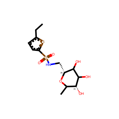 CCc1ccc(S(=O)(=O)NC[C@H]2OC(C)[C@@H](O)C(O)C2O)s1